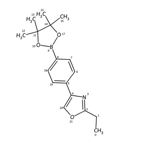 CCc1nc(-c2ccc(B3OC(C)(C)C(C)(C)O3)cc2)co1